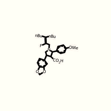 CCCCC(CCCC)=C(F)CN1CC(c2ccc3c(c2)OCO3)C(C(=O)O)C1c1ccc(OC)cc1